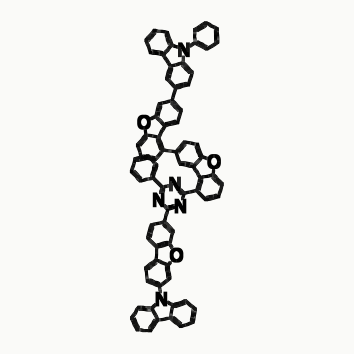 c1ccc(-c2nc(-c3ccc4c(c3)oc3cc(-n5c6ccccc6c6ccccc65)ccc34)nc(-c3cccc4oc5ccc(-c6cccc7oc8cc(-c9ccc%10c(c9)c9ccccc9n%10-c9ccccc9)ccc8c67)cc5c34)n2)cc1